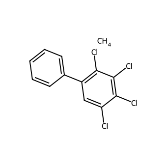 C.Clc1cc(-c2ccccc2)c(Cl)c(Cl)c1Cl